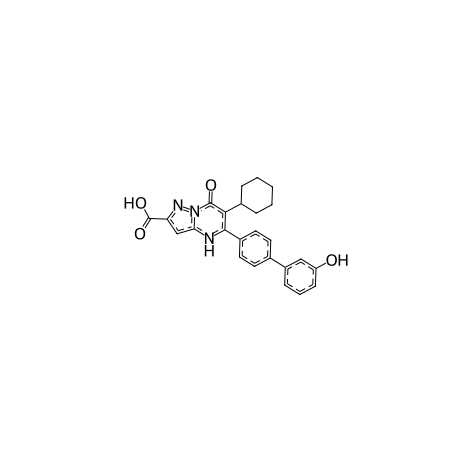 O=C(O)c1cc2[nH]c(-c3ccc(-c4cccc(O)c4)cc3)c(C3CCCCC3)c(=O)n2n1